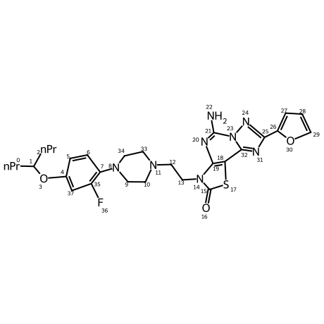 CCCC(CCC)Oc1ccc(N2CCN(CCn3c(=O)sc4c3nc(N)n3nc(-c5ccco5)nc43)CC2)c(F)c1